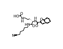 N#CCCCCCNC(=O)[C@H](CCCNC(=O)O)NC(=O)c1cc2ccccc2o1